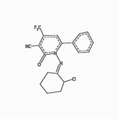 N#Cc1c(C(F)(F)F)cc(-c2ccccc2)n(N=C2CCCCC2Cl)c1=O